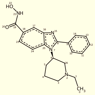 CCN1CCC[C@@H](n2c(-c3ccccc3)nc3cc(C(=O)NO)ccc32)C1